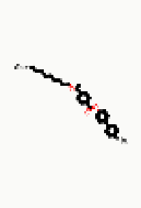 CCCCCCCCCCCCCCCCCCCOC(C)c1ccc(C(=O)Oc2ccc(-c3ccc(CCCC)cc3)cc2)cc1